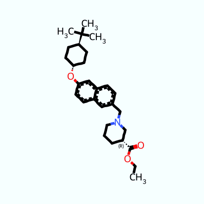 CCOC(=O)[C@@H]1CCCN(Cc2ccc3cc(O[C@H]4CC[C@H](C(C)(C)C)CC4)ccc3c2)C1